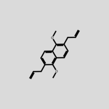 C=CCc1ccc2c(OC)c(CC=C)ccc2c1OC